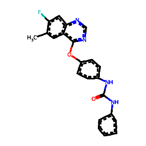 Cc1cc2c(Oc3ccc(NC(=O)Nc4ccccc4)cc3)ncnc2cc1F